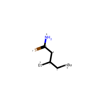 CCCCCC(CC)CC(N)=S